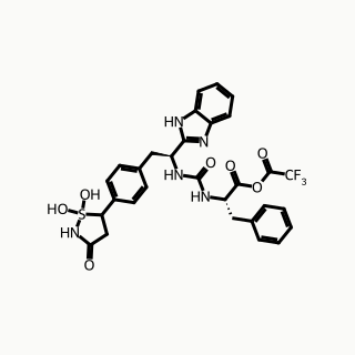 O=C1CC(c2ccc(C[C@H](NC(=O)N[C@@H](Cc3ccccc3)C(=O)OC(=O)C(F)(F)F)c3nc4ccccc4[nH]3)cc2)S(O)(O)N1